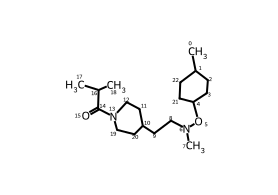 CC1CCC(ON(C)CCC2CCN(C(=O)C(C)C)CC2)CC1